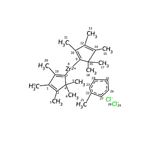 CC1=C(C)C(C)(C)[C]([Zr+2][C]2=C(C)C(C)=C(C)C2(C)C)=C1C.Cc1ccccc1.[Cl-].[Cl-]